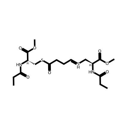 CCC(=O)N[C@@H](CSC(=O)CCC=[SH]C[C@H](NC(=O)CC)C(=O)OC)C(=O)OC